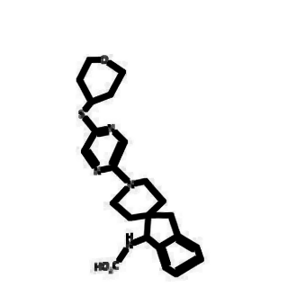 O=C(O)NC1c2ccccc2CC12CCN(c1cnc(SC3CCOCC3)cn1)CC2